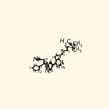 C[Si](C)(C)CCSCn1ccc2c(-c3cnn(C(CC#N)C4CCCC4)c3)ncnc21